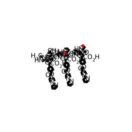 Cc1nc(S(=O)(=O)N(C(=O)[C@H]2NC(C)(C)CS2)[C@@H](Cc2ccc(OC(=O)N3CCN(c4ccccn4)CC3)cc2)C(=O)O)c[nH]1.Cn1ccc(S(=O)(=O)N(C(=O)[C@@H]2CCCN2)[C@@H](Cc2ccc(OC(=O)N3CCN(c4ccccn4)CC3)cc2)C(=O)O)n1.Cn1ccc(S(=O)(=O)N(C(=O)[C@@H]2CCCN2)[C@@H](Cc2ccc(OC(=O)N3CCN(c4ccccn4)CC3)cc2)C(=O)O)n1